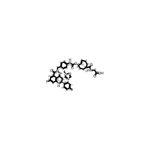 Cn1ncnc1[C@H]1c2nn(Cc3ccc(NC(=O)O[C@H]4/C=C/CC[C@@](C)(C(=O)NCC(=O)O)CC4)cc3)c(=O)c3cc(F)cc(c23)N[C@@H]1c1ccc(F)cc1